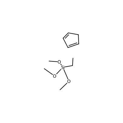 C1=CCC=C1.CC[Si](OC)(OC)OC